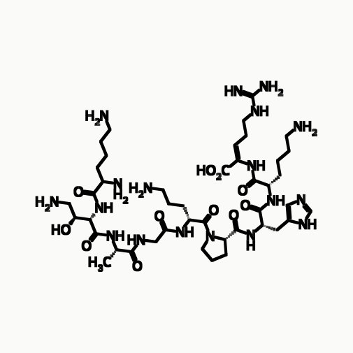 C[C@H](NC(=O)[C@@H](NC(=O)C(N)CCCCN)[C@@H](O)CN)C(=O)NCC(=O)N[C@H](CCCN)C(=O)N1CCC[C@H]1C(=O)N[C@@H](Cc1cnc[nH]1)C(=O)N[C@@H](CCCCN)C(=O)N/C(=C\CCNC(=N)N)C(=O)O